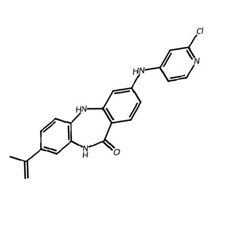 C=C(C)c1ccc2c(c1)NC(=O)c1ccc(Nc3ccnc(Cl)c3)cc1N2